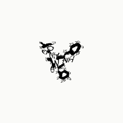 CC(NC(=O)OC(C)(C)C)C(=O)N1C[C@@H](Cc2ccccc2)NC[C@@H]1Cc1ccccc1